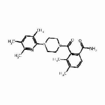 Cc1cc(C)c(N2CCN(C(=O)c3c(C(N)=O)ccc(C)c3C)CC2)nc1C